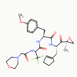 COc1ccc(C[C@H](NC(=O)C(NC(=O)CN2CCOCC2)C(F)(F)F)C(=O)N[C@@H](CC2=CCCC2)C(=O)[C@]2(C)CO2)cc1